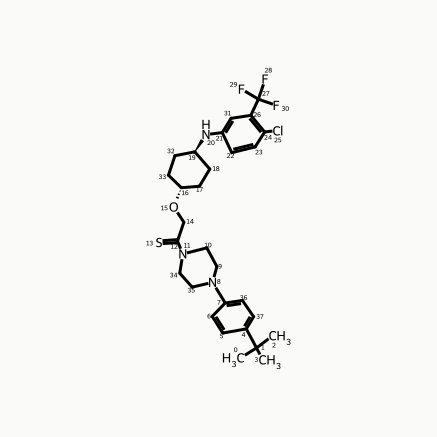 CC(C)(C)c1ccc(N2CCN(C(=S)CO[C@H]3CC[C@H](Nc4ccc(Cl)c(C(F)(F)F)c4)CC3)CC2)cc1